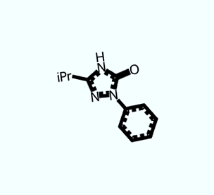 CC(C)c1nn(-c2ccccc2)c(=O)[nH]1